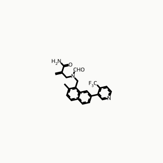 C=C(CN(C=O)Cc1c(C)ccc2ccc(-c3cnccc3C(F)(F)F)cc12)C(N)=O